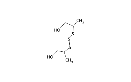 CC(CO)SSSC(C)CO